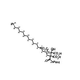 CCCCCC(=O)C(CCCCCCCCCCCCCCCC(C)C)(C(=O)O)C(O)(CC(=O)O)C(=O)O